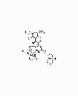 Cc1cc(N)c(F)c(-c2nc3c4c(nc(OC[C@@H]5CC[C@H]6COCCN65)nc4c2F)N2C[C@H]4CC[C@H](N4)[C@H]2[C@H](C)O3)c1Cl